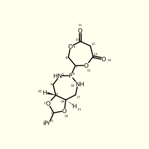 CC(C)C1O[C@@H]2CNP(C3COC(=O)CC(=O)O3)NC[C@H]2O1